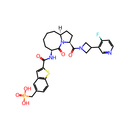 O=C(N[C@H]1CCCC[C@H]2CC[C@@H](C(=O)N3CC(c4cnccc4F)C3)N2C1=O)c1cc2cc(CP(=O)(O)O)ccc2s1